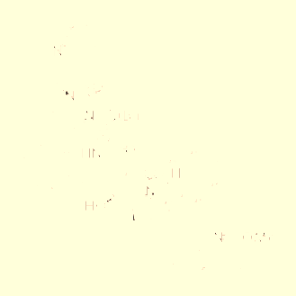 COc1cccc(-c2ccc(C[C@@H]([C@@H](O)C[C@H](Cc3ccccc3)NC(=O)[C@@H](N3CCN(Cc4cccc(C)n4)C3=O)C(C)(C)C)N(Cc3ccccc3)C(=O)O)cc2)n1